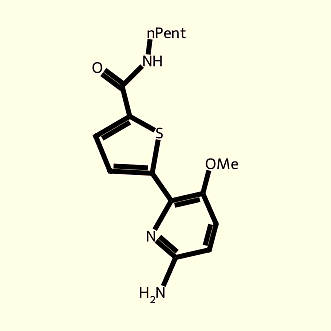 CCCCCNC(=O)c1ccc(-c2nc(N)ccc2OC)s1